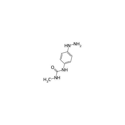 CNC(=O)Nc1ccc(NN)cc1